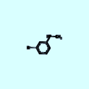 CPc1cccc(Br)c1